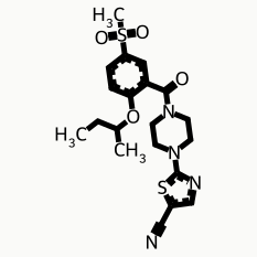 CCC(C)Oc1ccc(S(C)(=O)=O)cc1C(=O)N1CCN(c2ncc(C#N)s2)CC1